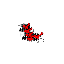 Nc1nc(OC2CCCC2)nc2c1ncn2[C@@H]1O[C@H](CO)[C@@H](O)[C@H]1O.Nc1nc(OC2CCCCC2)nc2c1ncn2[C@@H]1O[C@H](CO)[C@@H](O)[C@H]1O.Nc1nc(OCCCCCc2ccccc2)nc2c1ncn2[C@@H]1O[C@H](CO)[C@@H](O)[C@H]1O.Nc1nc(OCCc2ccccc2)nc2c1ncn2[C@@H]1O[C@H](CO)[C@@H](O)[C@H]1O.Nc1nc(OCc2ccccc2)nc2c1ncn2[C@@H]1O[C@H](CO)[C@@H](O)[C@H]1O